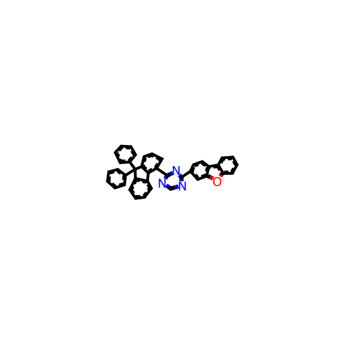 c1ccc(C2(c3ccccc3)c3ccccc3-c3c(-c4ncnc(-c5ccc6c(c5)oc5ccccc56)n4)cccc32)cc1